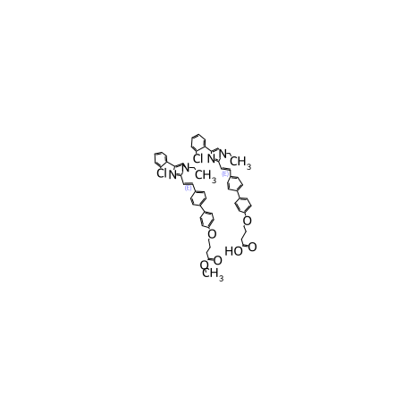 CCn1cc(-c2ccccc2Cl)nc1/C=C/c1ccc(-c2ccc(OCCCC(=O)O)cc2)cc1.CCn1cc(-c2ccccc2Cl)nc1/C=C/c1ccc(-c2ccc(OCCCC(=O)OC)cc2)cc1